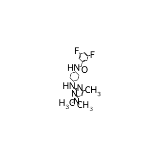 Cc1cc(N(C)C)nc(NC2CCC(NC(=O)c3cc(F)cc(F)c3)CC2)n1